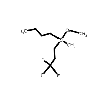 CCCC[Si](C)(CCC(F)(F)F)OC